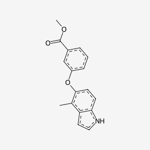 COC(=O)c1cccc(Oc2ccc3[nH]ccc3c2C)c1